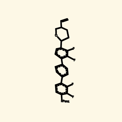 C=CC1CCC(c2ccc(-c3ccc(-c4ccc(CCCCC)c(F)c4F)cc3)c(F)c2F)OC1